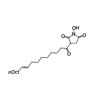 CCCCCCCCC=CCCCCCCCC(=O)C1CC(=O)N(O)C1=O